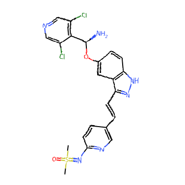 CS(C)(=O)=Nc1ccc(/C=C/c2n[nH]c3ccc(O[C@H](N)c4c(Cl)cncc4Cl)cc23)cn1